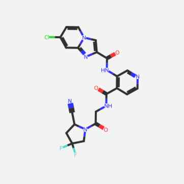 N#CC1CC(F)(F)CN1C(=O)CNC(=O)c1ccncc1NC(=O)c1cn2ccc(Cl)cc2n1